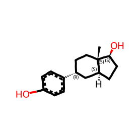 C[C@]12CC[C@@H](c3ccc(O)cc3)C[C@@H]1CC[C@@H]2O